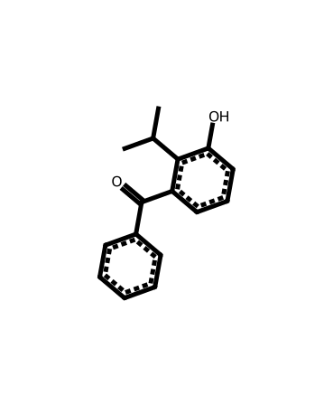 CC(C)c1c(O)cccc1C(=O)c1ccccc1